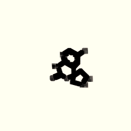 Cl.O=C1Nc2ncc(Cl)cc2C2(CCNC2)O1